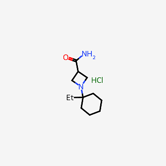 CCC1(N2CC(C(N)=O)C2)CCCCC1.Cl